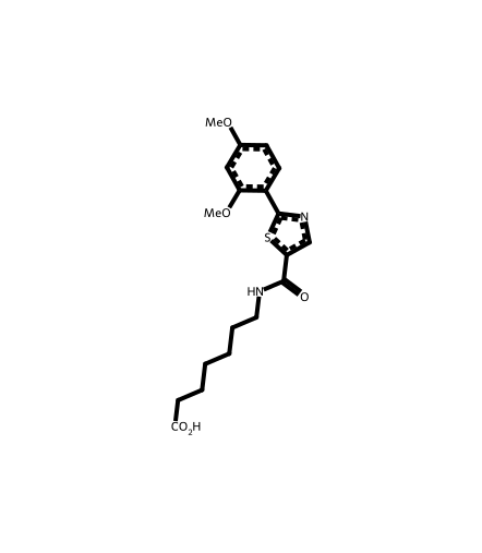 COc1ccc(-c2ncc(C(=O)NCCCCCCC(=O)O)s2)c(OC)c1